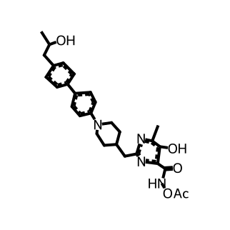 CC(=O)ONC(=O)c1nc(CC2CCN(c3ccc(-c4ccc(CC(C)O)cc4)cc3)CC2)nc(C)c1O